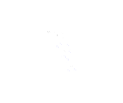 COc1cccc(-n2ncc3c(N/N=C/c4cnc[nH]4)ncnc32)c1